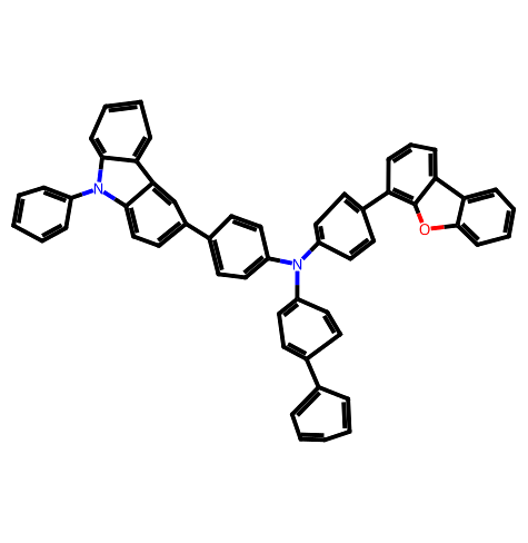 c1ccc(-c2ccc(N(c3ccc(-c4ccc5c(c4)c4ccccc4n5-c4ccccc4)cc3)c3ccc(-c4cccc5c4oc4ccccc45)cc3)cc2)cc1